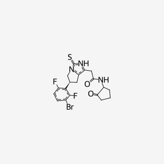 O=C(Cc1[nH]c(=S)n2c1C[C@@H](c1c(F)ccc(Br)c1F)C2)NC1CCCC1=O